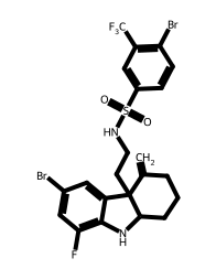 C=C1CCCC2Nc3c(F)cc(Br)cc3C12CCNS(=O)(=O)c1ccc(Br)c(C(F)(F)F)c1